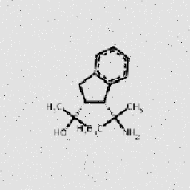 CC(C)(N)[C@H]1c2ccccc2C[C@H]1C(C)(C)O